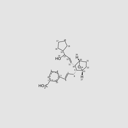 O=C(O)c1cccc(/C=C/C[C@@H]2[C@H](C=CC(O)C3CCCC3)[C@@H]3CC[C@H]2O3)c1